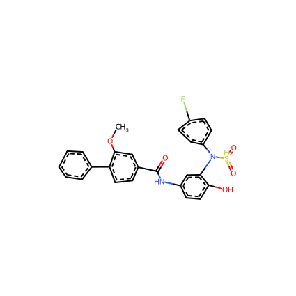 COc1cc(C(=O)Nc2ccc(O)c(N(c3ccc(F)cc3)[SH](=O)=O)c2)ccc1-c1ccccc1